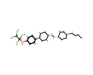 CCCC[C@H]1CC[C@H](CC[C@H]2CC[C@H](c3ccc(OC(F)(F)C(F)F)cc3)CC2)CC1